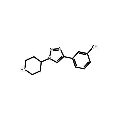 Cc1cccc(-c2cn(C3CCNCC3)nn2)c1